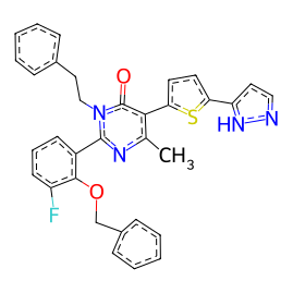 Cc1nc(-c2cccc(F)c2OCc2ccccc2)n(CCc2ccccc2)c(=O)c1-c1ccc(-c2ccn[nH]2)s1